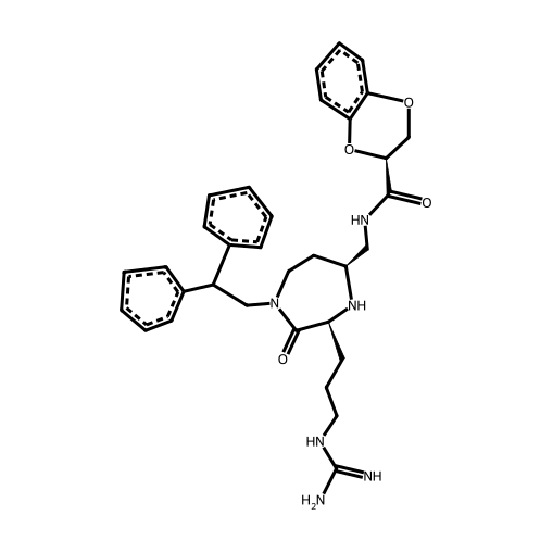 N=C(N)NCCC[C@@H]1N[C@H](CNC(=O)[C@@H]2COc3ccccc3O2)CCN(CC(c2ccccc2)c2ccccc2)C1=O